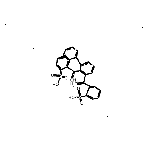 C=C(c1ccccc1S(=O)(=O)O)c1cccc(-c2ccccc2)c1C(=C)c1ccccc1S(=O)(=O)O